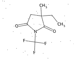 CCC1(C)CC(=O)N(C(F)(F)F)C1=O